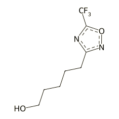 OCCCCCc1noc(C(F)(F)F)n1